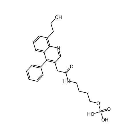 O=C(Cc1cnc2c(CCO)cccc2c1-c1ccccc1)NCCCCOP(=O)(O)O